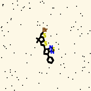 CC1(C)c2cc(Br)sc2-c2sc(-c3ccc(-c4ccccc4)c4nsnc34)cc21